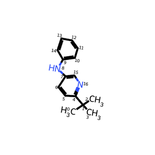 CC(C)(C)c1ccc(Nc2ccccc2)cn1